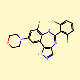 Fc1cc(N2CCOCC2)cc2c1NC(c1c(F)cccc1Cl)=Nc1cn[nH]c1-2